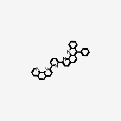 c1ccc(-c2c3ccccc3nc3c2ccc2ccc(-c4cccc(-c5ccc6ccc7cccnc7c6n5)n4)nc23)cc1